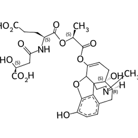 C[C@H](OC(=O)[C@H](CCC(=O)O)NC(=O)C[C@H](O)C(=O)O)C(=O)OC1=CC[C@@]2(O)[C@H]3Cc4ccc(O)c5c4C2(CCN3C)C1O5